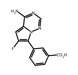 Nc1ncnn2c(-c3cccc(C(=O)O)c3)c(F)cc12